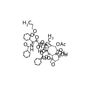 C=CCOC(=O)O[C@@H](C(=O)O[C@H]1C[C@@]2(O)[C@@H](OC(=O)c3ccccc3)C3[C@]4(OC(C)=O)COC4C[C@H](O)[C@@]3(C)C(=O)C(OC(C)=O)C(=C1C)C2(C)C)[C@@H](NC(=O)c1ccccc1)c1ccccc1